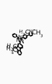 Cc1ccc(-c2ccc(-c3nc(-c4ccccc4)nc(-c4ccc5c(c4)C(C)(C)c4ccccc4-5)n3)cc2)c(C)n1